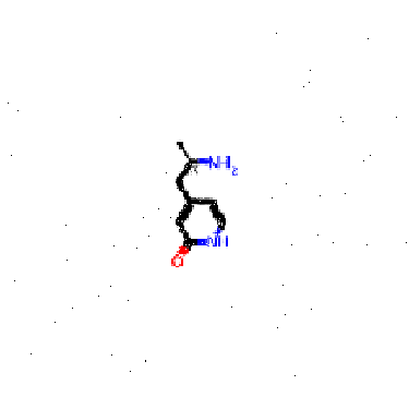 C[C@@H](N)Cc1cc[nH]c(=O)c1